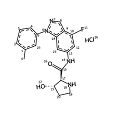 Cc1cccc(-n2ncc3c(F)cc(NC(=O)[C@H]4NCC[C@@H]4O)cc32)c1.Cl